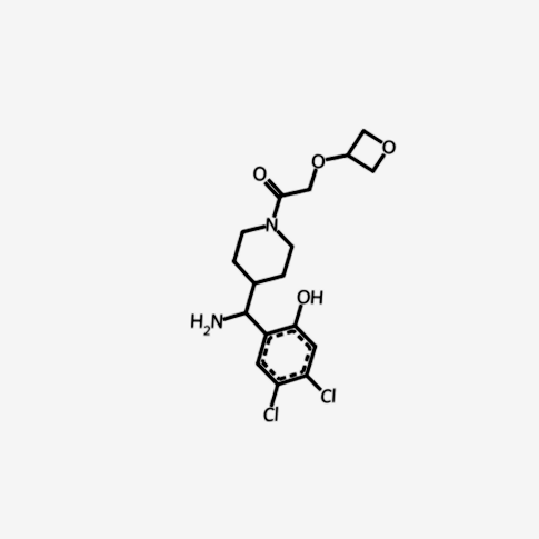 NC(c1cc(Cl)c(Cl)cc1O)C1CCN(C(=O)COC2COC2)CC1